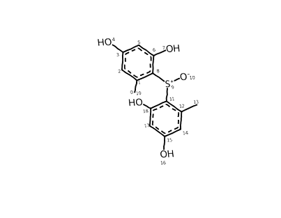 Cc1cc(O)cc(O)c1[S+]([O-])c1c(C)cc(O)cc1O